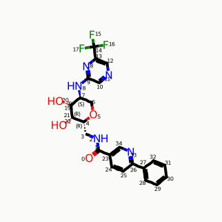 O=C(NC[C@H]1OC[C@H](Nc2cncc(C(F)(F)F)n2)[C@@H](O)[C@H]1O)c1ccc(-c2ccccc2)nc1